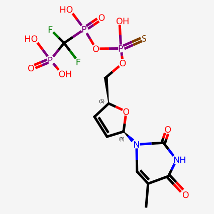 Cc1cn([C@H]2C=C[C@@H](COP(O)(=S)OP(=O)(O)C(F)(F)P(=O)(O)O)O2)c(=O)[nH]c1=O